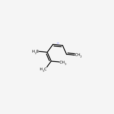 BC(/C=C\C=C)=C(C)C